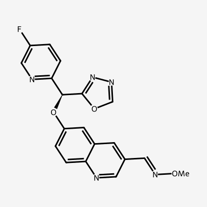 CO/N=C/c1cnc2ccc(O[C@@H](c3ccc(F)cn3)c3nnco3)cc2c1